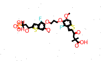 COc1cc2sc(C(=O)CC(C)(C)C(=O)O)cc2c(F)c1OCCCOc1c(OC)cc2sc(C(=O)CC(C)(C)P(=O)(O)O)cc2c1F